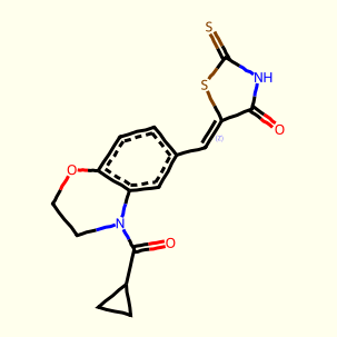 O=C1NC(=S)S/C1=C\c1ccc2c(c1)N(C(=O)C1CC1)CCO2